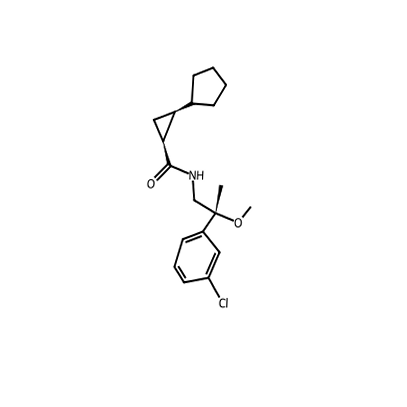 CO[C@@](C)(CNC(=O)[C@H]1C[C@H]1C1CCCC1)c1cccc(Cl)c1